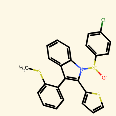 CSc1ccccc1-c1c(-c2cccs2)n([S+]([O-])c2ccc(Cl)cc2)c2ccccc12